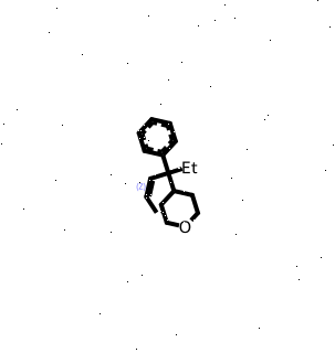 [CH2]/C=C\C(CC)(c1ccccc1)C1CCOCC1